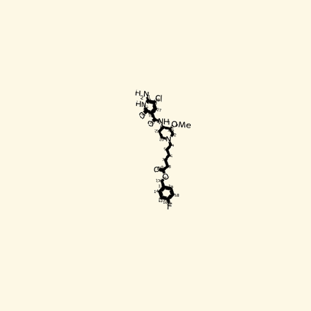 CO[C@H]1CN(CCCCCC(=O)OCc2ccc(F)cc2)CC[C@H]1NC(=O)c1cc(Cl)c(N)[nH]c1=O